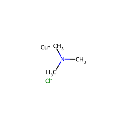 CN(C)C.[Cl-].[Cu+]